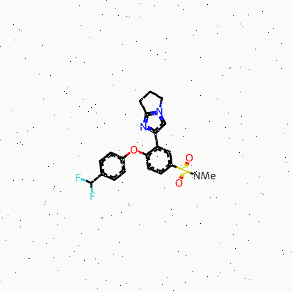 CNS(=O)(=O)c1ccc(Oc2ccc(C(F)F)cc2)c(-c2cn3c(n2)CCC3)c1